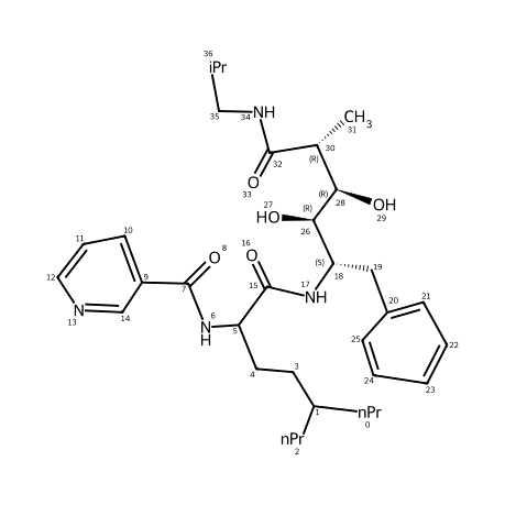 CCCC(CCC)CCC(NC(=O)c1cccnc1)C(=O)N[C@@H](Cc1ccccc1)[C@@H](O)[C@H](O)[C@@H](C)C(=O)NCC(C)C